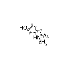 CC(=O)[C@H](Cc1ccc(O)cc1)NP